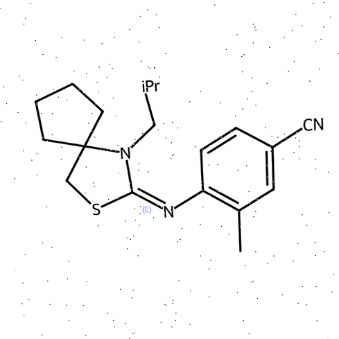 Cc1cc(C#N)ccc1/N=C1/SCC2(CCCC2)N1CC(C)C